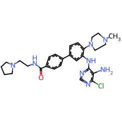 CN1CCN(c2ccc(-c3ccc(C(=O)NCCN4CCCC4)cc3)cc2Nc2ncnc(Cl)c2N)CC1